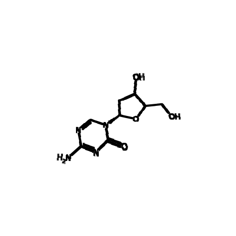 Nc1ncn([C@H]2CC(O)C(CO)O2)c(=O)n1